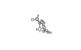 C[C@@H]1CN(c2ncnc3c2c(C2CC2)cn3-c2cc(F)cc(Cl)c2)CCN1C(=O)OC(C)(C)C